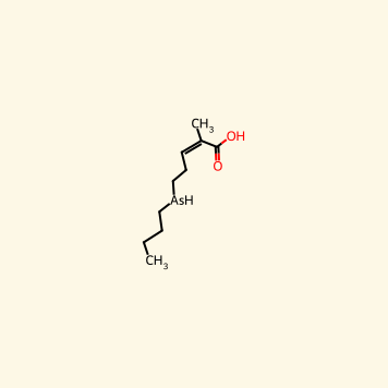 CCCC[AsH]CCC=C(C)C(=O)O